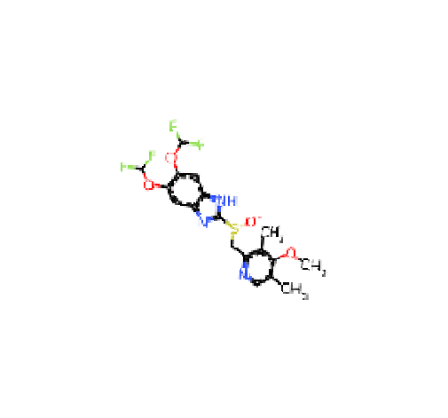 COc1c(C)cnc(C[S+]([O-])c2nc3cc(OC(F)F)c(OC(F)F)cc3[nH]2)c1C